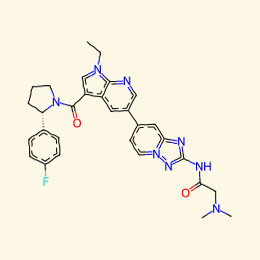 CCn1cc(C(=O)N2CCC[C@H]2c2ccc(F)cc2)c2cc(-c3ccn4nc(NC(=O)CN(C)C)nc4c3)cnc21